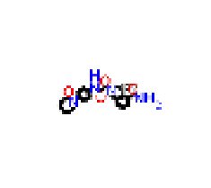 CC(C)CN(Cc1cccc(C(N)=O)c1)C(=O)C(=O)Nc1ccc(N2CCCCCC2=O)cc1